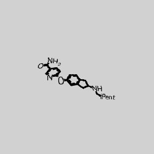 CCCC(C)CNC1Cc2ccc(Oc3ccc(C(N)=O)cn3)cc2C1